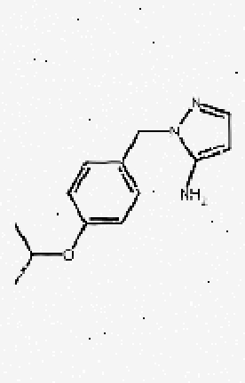 CC(C)Oc1ccc(Cn2nccc2N)cc1